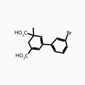 CC1(C(=O)O)C=C(c2cccc(Br)c2)C=C(C(=O)O)C1